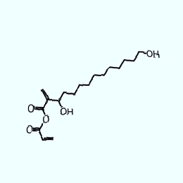 C=CC(=O)OC(=O)C(=C)C(O)CCCCCCCCCCCO